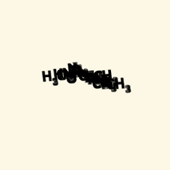 CCNC(=O)c1nccc(COc2ccc(C(C)(C)c3ccc(C)cc3)cc2)n1